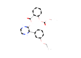 CCCCCCCCCCOC(=O)Oc1ccccc1C(=O)Oc1nccnc1-c1cccc(OCC(C)CC)c1